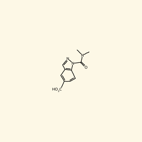 CN(C)C(=O)n1ncc2cc(C(=O)O)ccc21